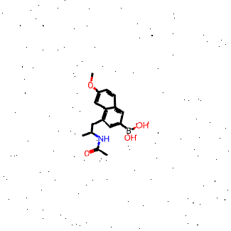 COc1ccc2cc(B(O)O)cc(CC(C)NC(C)=O)c2c1